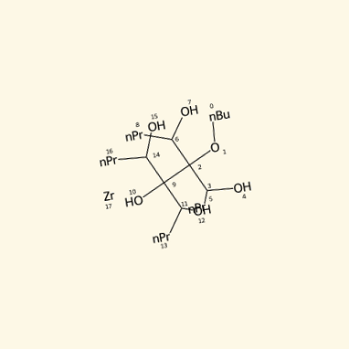 CCCCOC(C(O)CCC)(C(O)CCC)C(O)(C(O)CCC)C(O)CCC.[Zr]